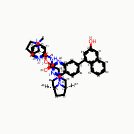 CN1CCC[C@H]1COc1nc(N2[C@@H]3CC[C@H]2CN(CC(=O)Nc2ccccn2)C3)c2ccc(-c3cc(O)cc4ccccc34)cc2n1